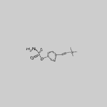 C[Si](C)(C)C#Cc1ccc(OS(N)(=O)=O)cc1